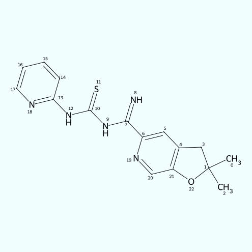 CC1(C)Cc2cc(C(=N)NC(=S)Nc3[c]cccn3)ncc2O1